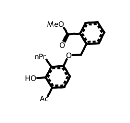 CCCc1c(OCc2ccccc2C(=O)OC)ccc(C(C)=O)c1O